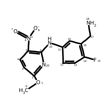 COc1ccc([N+](=O)[O-])c(Nc2ccc(F)c(CN)c2)n1